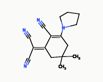 CC1(C)CC(=C(C#N)C#N)C(C#N)=C(N2CCCC2)C1